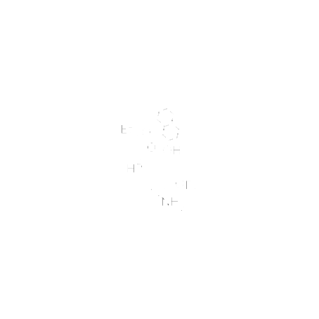 CCOCCC(C)(N)C(C)(C)CCPC(C)(C)C1CC(CC)OC(c2c(O)ccc3ccccc23)O1